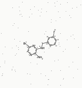 Nc1ncc(Br)nc1NCc1cccc(F)c1